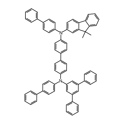 CC1(C)c2ccccc2-c2ccc(N(c3ccc(-c4ccccc4)cc3)c3ccc(-c4ccc(N(c5ccc(-c6ccccc6)cc5)c5cc(-c6ccccc6)cc(-c6ccccc6)c5)cc4)cc3)cc21